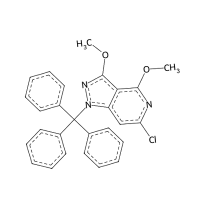 COc1nc(Cl)cc2c1c(OC)nn2C(c1ccccc1)(c1ccccc1)c1ccccc1